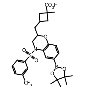 CC1(C(=O)O)CC(CC2CN(S(=O)(=O)c3cccc(C(F)(F)F)c3)c3cc(B4OC(C)(C)C(C)(C)O4)ccc3O2)C1